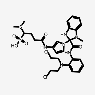 CN1c2ccccc2NC1(C(=O)Nc1ccccc1N(CCCl)CCCl)n1ccc(NC(=O)CCC([S+](C)C)S(=O)(=O)O)c1